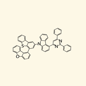 c1ccc(-c2cc(-c3cccc4c3c3ccccc3n4-c3cc(-c4cccc5oc6ccccc6c45)c4sc5ccccc5c4c3)nc(-c3ccccc3)n2)cc1